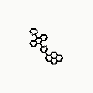 c1cnc(-c2c3ccccc3c(-c3ccc(-c4ccc5ccc6cccc7ccc4c5c67)cn3)c3ccccc23)nc1